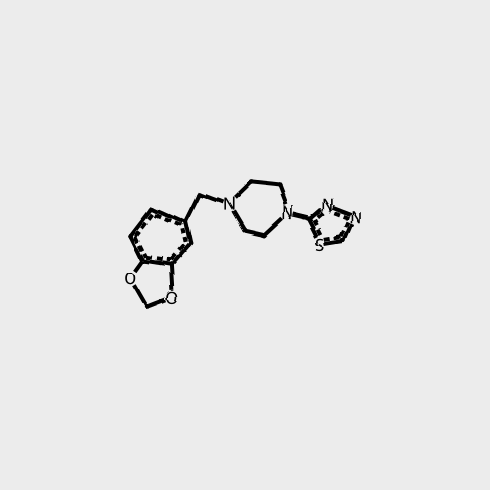 c1nnc(N2CCN(Cc3ccc4c(c3)OCO4)CC2)s1